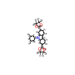 Cc1cc(C)cc(-n2c3cc(B4OC(C)(C)C(C)(C)O4)ccc3c3ccc(B4OC(C)(C)C(C)(C)O4)cc32)c1